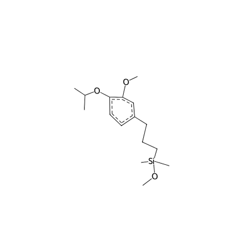 COc1cc(CCC[Si](C)(C)OC)ccc1OC(C)C